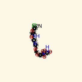 CC1(C)C(NC(=O)c2ccc(N3CCC(COC4CC(Oc5ccc6c(c5)C(=O)N([C@@H]5CCC(=O)NC5=O)C6=O)C4)CC3)cc2)C(C)(C)C1Oc1ccc(C#N)c(Cl)c1